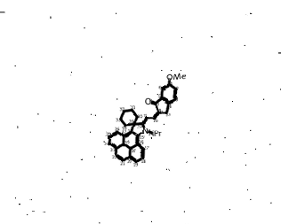 COc1ccc2c(c1)C(=O)/C(=C\C=C1/N(C(C)C)C3=C4C=CC=C5C=CC6=CC=CC(=C3C13CCCCC3)C6C54)C2